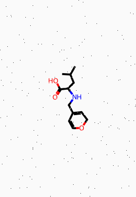 CC(C)CC(NCC1=CCOC=C1)C(=O)O